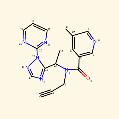 C#CCN(C(=O)c1cncc(C)c1)C(C)c1ncnn1-c1ncccn1